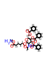 CC(=O)N[C@H]1C(OCCCCC(=O)ON)O[C@H](COC(=O)c2ccccc2)[C@H](OC(=O)c2ccccc2)C1OC(=O)c1ccccc1